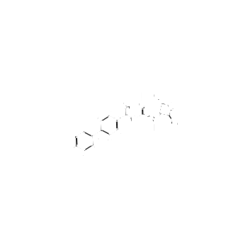 C[C@@H]1OC(=O)[C@@H]1NC(=O)OC(S)c1ccc(-c2ccccc2)cc1